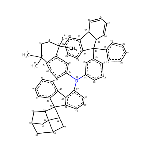 CC1(C)CCC(C)(C)c2cc(N(c3cccc(C4(c5ccccc5)c5ccccc5C5C=CC=CC54)c3)c3cccc4c3-c3ccccc3C43C4CC5CC6CC3C64C5)ccc21